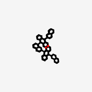 c1ccc2cc(-c3c4ccccc4c(-c4ccc5cccc(-c6c7ccccc7c(-c7ccc8ccccc8c7)c7ccccc67)c5c4)c4ccccc34)ccc2c1